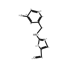 O=Cc1cnc(NCc2cncc(F)c2)s1